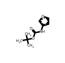 CC(C)(C)OC(=O)Nc1ccoc1